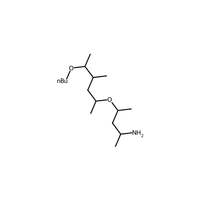 CCCCOC(C)C(C)CC(C)OC(C)CC(C)N